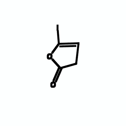 O=C1CC=C(I)O1